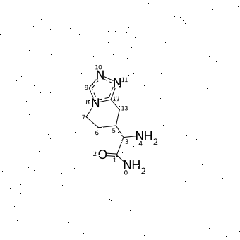 NC(=O)C(N)C1CCn2cnnc2C1